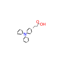 CCCC(=O)O.c1ccc(N(c2ccccc2)c2ccccc2)cc1